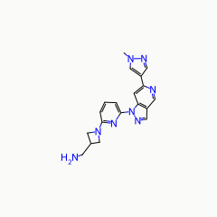 Cn1cc(-c2cc3c(cn2)cnn3-c2cccc(N3CC(CN)C3)n2)cn1